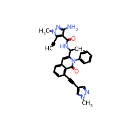 C#Cc1c(C(=O)NC(C)c2cc3cccc(C#Cc4cnn(C)c4)c3c(=O)n2-c2ccccc2)c(N)nn1C